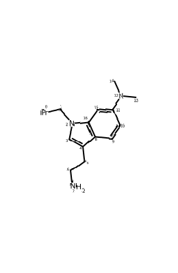 CC(C)Cn1cc(CCN)c2ccc(N(C)C)cc21